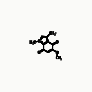 [CH2]c1cn(C)c2c1C(=O)C(OC)=CC2=O